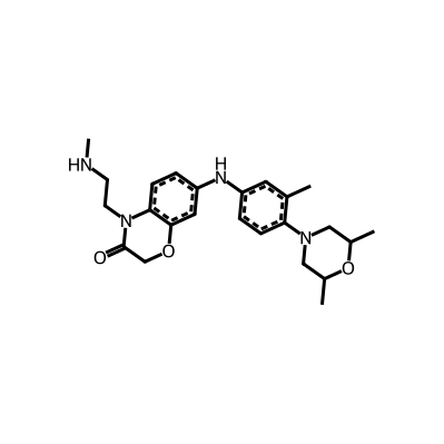 CNCCN1C(=O)COc2cc(Nc3ccc(N4CC(C)OC(C)C4)c(C)c3)ccc21